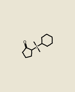 CS(C)(C1CCCCC1)C1CCCC1=O